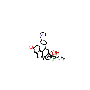 C[C@]12C[C@H](c3ccc(CN4CCCC4)cc3)C3=C4CCC(=O)C=C4CC[C@H]3[C@@H]1CC[C@@]2(O)C(F)(F)C(F)(F)F